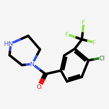 O=C(c1ccc(Cl)c(C(F)(F)F)c1)N1CCNCC1